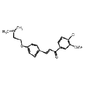 COc1cc(C(=O)C=Cc2ccc(OCCN(C)C)cc2)ccc1Cl